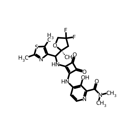 Cc1nc(C(Nc2c(Nc3ccnc(C(=O)N(C)C)c3O)c(=O)c2=O)[C@]2(C)CC(F)(F)CO2)c(C)s1